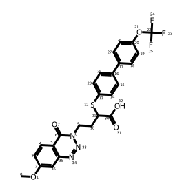 COc1ccc2c(=O)n(CCC(Sc3ccc(-c4ccc(OC(F)(F)F)cc4)cc3)C(=O)O)nnc2c1